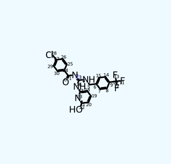 O=C(/N=C(/NCc1ccc(C(F)(F)F)cc1)Nc1cccc(O)n1)c1ccc(Cl)cc1